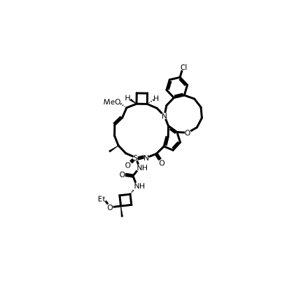 CCO[C@]1(C)C[C@H](NC(=O)NS2(=O)=NC(=O)c3ccc4c(c3)N(Cc3ccc(Cl)cc3CCCCO4)C[C@@H]3CC[C@H]3[C@@H](OC)/C=C/C[C@H](C)C2)C1